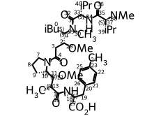 CC[C@H](C)[C@@H](C(CC(=O)N1CCC[C@H]1[C@H](OC)[C@@H](C)C(=O)N[C@@H](Cc1ccc(C)cc1)C(=O)O)OC)N(C)C(=O)[C@@H](NC(=O)[C@@H](NC)C(C)C)C(C)C